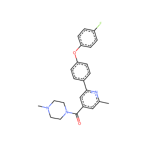 Cc1cc(C(=O)N2CCN(C)CC2)cc(-c2ccc(Oc3ccc(F)cc3)cc2)n1